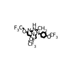 C=C(Nc1nc(OCC(F)(F)F)cc(OCC(F)(F)F)n1)N(CCF)c1ccc(OC(F)(F)F)cc1